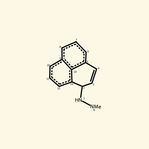 CNNC1C=Cc2cccc3cccc1c23